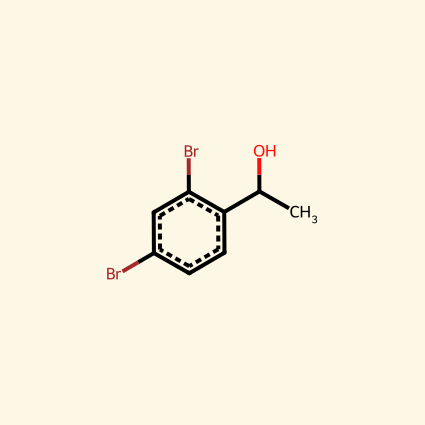 CC(O)c1ccc(Br)cc1Br